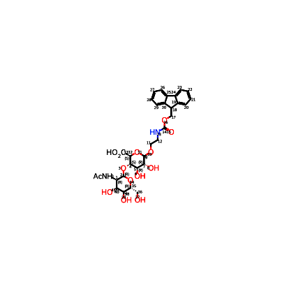 CC(=O)N[C@H]1[C@@H](O[C@H]2[C@H](O)[C@@H](O)[C@H](OCCNC(=O)OCC3c4ccccc4-c4ccccc43)O[C@@H]2C(=O)O)O[C@H](CO)[C@@H](O)[C@@H]1O